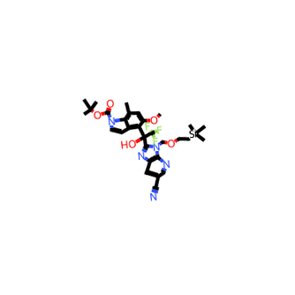 COc1cc(C)c2c(ccn2C(=O)OC(C)(C)C)c1C(O)(c1nc2cc(C#N)cnc2n1COCC[Si](C)(C)C)C(F)(F)F